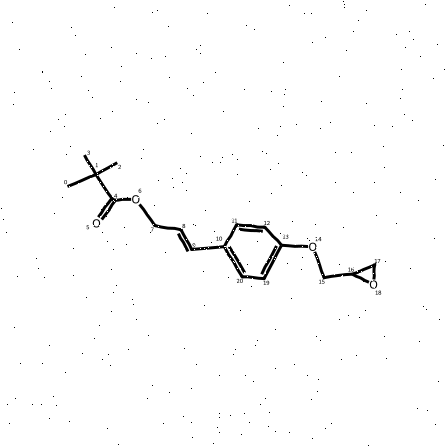 CC(C)(C)C(=O)OC/C=C/c1ccc(OCC2CO2)cc1